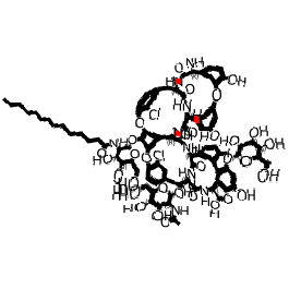 CCCCCCCCCCCCCC(=O)NC1[C@H](Oc2c3cc4cc2Oc2ccc(cc2Cl)[C@@H](O[C@@H]2OC(CO)[C@@H](O)C(O)[C@@H]2NC(C)=O)[C@@H]2NC(=O)[C@H](NC(=O)[C@@H]4NC(=O)[C@H]4NC(=O)[C@@H](Cc5ccc(c(Cl)c5)O3)NC(=O)[C@H](N)c3ccc(O)c(c3)Oc3cc(O)cc4c3)c3ccc(I)c(c3)-c3c(O[C@H]4OC(CO)[C@@H](O)[C@@H](O)C4O)cc(O)cc3[C@@H](C(=O)O)NC2=O)OC(CO)[C@@H](O)[C@@H]1O